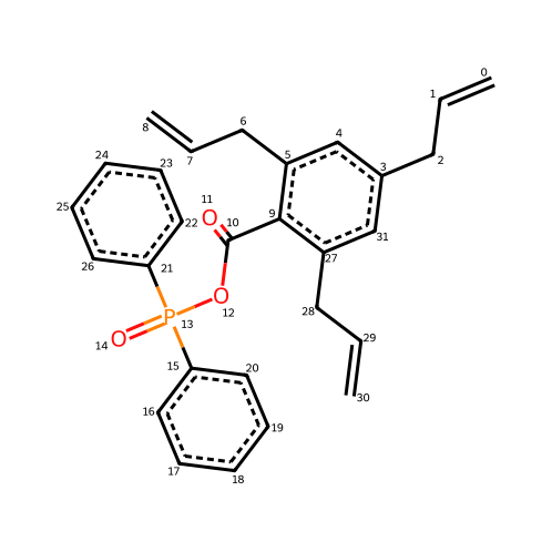 C=CCc1cc(CC=C)c(C(=O)OP(=O)(c2ccccc2)c2ccccc2)c(CC=C)c1